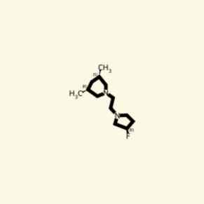 C[C@@H]1C[C@H](C)CN(CCN2CC[C@@H](F)C2)C1